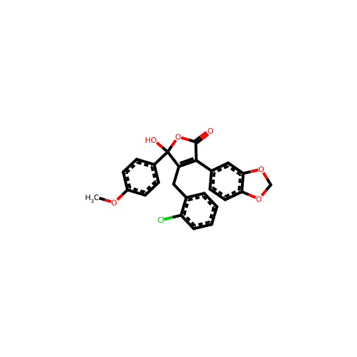 COc1ccc(C2(O)OC(=O)C(c3ccc4c(c3)OCO4)=C2Cc2ccccc2Cl)cc1